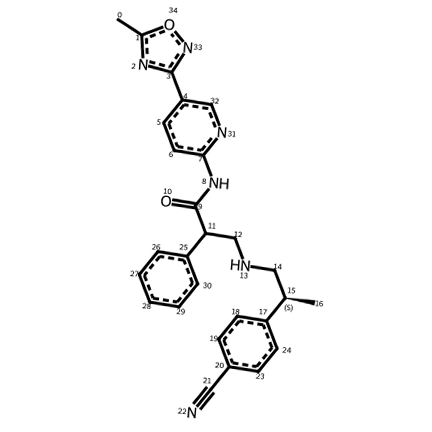 Cc1nc(-c2ccc(NC(=O)C(CNC[C@@H](C)c3ccc(C#N)cc3)c3ccccc3)nc2)no1